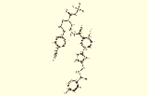 Cc1ccc(C(C)NCc2ccc(-c3ccc(Cl)c(C(=O)NC4CN(C(=O)OC(C)(C)C)CCC4c4ccc(C#N)cc4)c3)o2)cc1